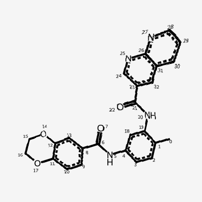 Cc1ccc(NC(=O)c2ccc3c(c2)OCCO3)cc1NC(=O)c1cnc2ncccc2c1